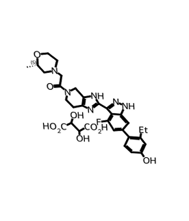 CCc1cc(O)ccc1-c1cc(F)c2c(-c3nc4c([nH]3)CN(C(=O)CN3CCO[C@@H](C)C3)CC4)n[nH]c2c1.O=C(O)C(O)C(O)C(=O)O